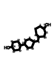 OC1CCCC(CC2CCC(C3CCC(O)CC3)CC2)CC1